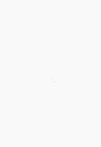 Cc1cccc(Nc2cccc3ccc4ccccc4c23)c1